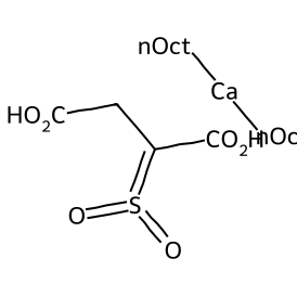 CCCCCCC[CH2][Ca][CH2]CCCCCCC.O=C(O)CC(C(=O)O)=S(=O)=O